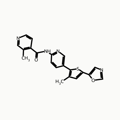 Cc1cnccc1C(=O)Nc1ccc(-c2sc(-c3cnco3)cc2C)cn1